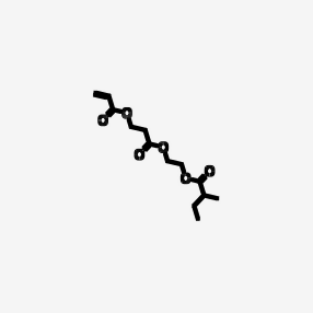 C=CC(=O)OCCC(=O)OCCOC(=O)C(C)CC